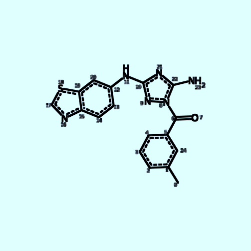 Cc1cccc(C(=O)n2nc(Nc3ccc4ncsc4c3)nc2N)c1